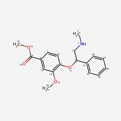 CNCC(Oc1ccc(C(=O)OC)cc1OC)c1ccccc1